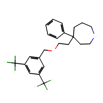 FC(F)(F)c1cc(COCCC2(c3ccccc3)CCCNCC2)cc(C(F)(F)F)c1